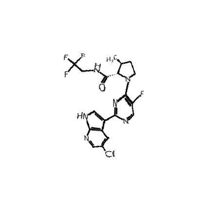 C[C@H]1CCN(c2nc(-c3c[nH]c4ncc(Cl)cc34)ncc2F)[C@@H]1C(=O)NCC(F)(F)F